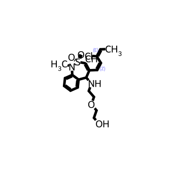 C/C=C(Cl)\C=C/C1=C(C)S(=O)(=O)N(C)c2ccccc2C1NCCOCCO